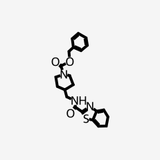 O=C(NCC1CCN(C(=O)OCc2ccccc2)CC1)c1nc2c(s1)=CCCC=2